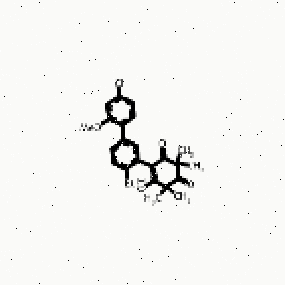 CCc1ccc(-c2ccc(Cl)cc2OC)cc1C1=C(O)C(C)(C)C(=O)C(C)(C)C1=O